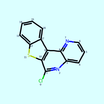 Clc1nc2cccnc2c2c1sc1ccccc12